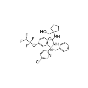 O=C(NC1(CO)CCCC1)N[C@](Cc1ccccc1)(c1cccc(OC(F)(F)C(F)F)c1)c1ccc(Cl)cn1